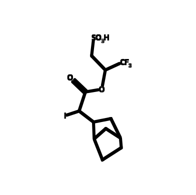 O=C(OC(CS(=O)(=O)O)C(F)(F)F)C(I)C1CC2CCC1C2